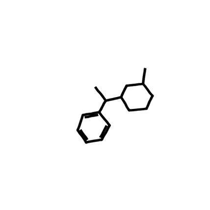 CC1CCCC(C(C)c2ccccc2)C1